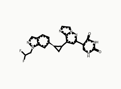 O=c1[nH]cc(-c2cc(C3C[C@H]3c3ccc4cnn(CC(F)F)c4c3)c3nccn3n2)c(=O)[nH]1